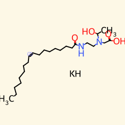 CCCCCCCC/C=C\CCCCCCCC(=O)NCCN(CC(=O)O)C(C)O.[KH]